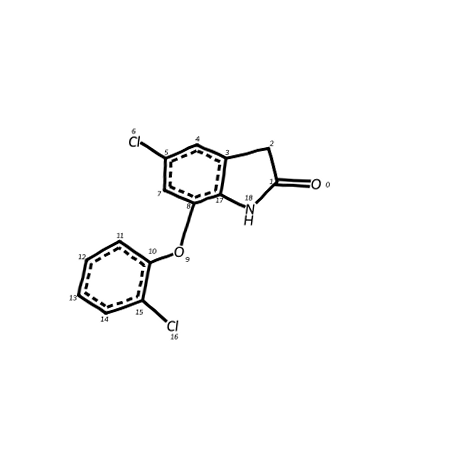 O=C1Cc2cc(Cl)cc(Oc3ccccc3Cl)c2N1